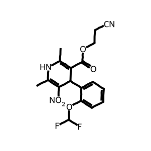 CC1=C(C(=O)OCCC#N)C(c2ccccc2OC(F)F)C([N+](=O)[O-])=C(C)N1